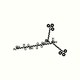 CC(=O)N(O)CCCCCNC(=O)CCC(=O)N(O)CCCCCNC(=O)CCC(=O)N(O)CCCCCN(CC1=CNNN1CCCCCCCCCC[P+](c1ccccc1)(c1ccccc1)c1ccccc1)Cc1cnnn1CCCCCCCCCC[P+](c1ccccc1)(c1ccccc1)c1ccccc1